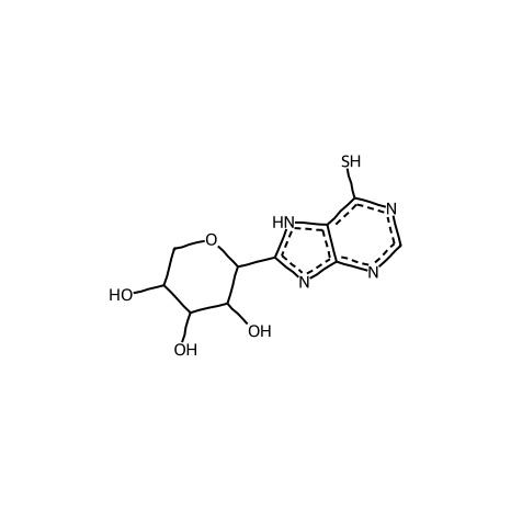 OC1COC(c2nc3ncnc(S)c3[nH]2)C(O)C1O